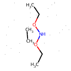 CC.CCONOCC